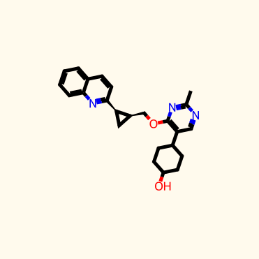 Cc1ncc(C2CCC(O)CC2)c(OC[C@H]2C[C@H]2c2ccc3ccccc3n2)n1